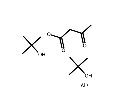 CC(=O)CC(=O)[O-].CC(C)(C)O.CC(C)(C)O.[Al+]